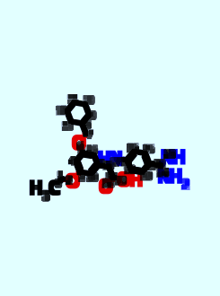 CCOc1cc(OCC2CCCCC2)cc(C(Nc2ccc(C(=N)N)cc2)C(=O)O)c1